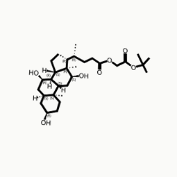 C[C@H](CCC(=O)OCC(=O)OC(C)(C)C)[C@H]1CC[C@H]2[C@@H]3[C@H](O)C[C@@H]4C[C@H](O)CC[C@]4(C)[C@H]3C[C@H](O)[C@]12C